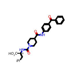 CC(C)C[C@H](NC(=O)N1CCC(C(=O)Nc2ccc(C(=O)c3ccccc3)cc2)CC1)C(=O)O